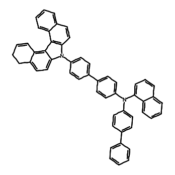 C1=Cc2c(ccc3c2c2c4ccccc4ccc2n3-c2ccc(-c3ccc(N(c4ccc(-c5ccccc5)cc4)c4cccc5ccccc45)cc3)cc2)CC1